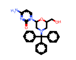 Nc1ccn(C2CN(C(c3ccccc3)(c3ccccc3)c3ccccc3)CC(CO)O2)c(=O)n1